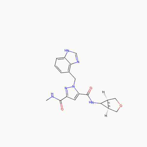 CNC(=O)c1cc(C(=O)NC2[C@H]3COC[C@@H]23)n(Cc2cccc3[nH]cnc23)n1